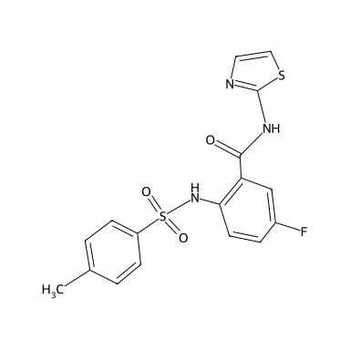 Cc1ccc(S(=O)(=O)Nc2ccc(F)cc2C(=O)Nc2nccs2)cc1